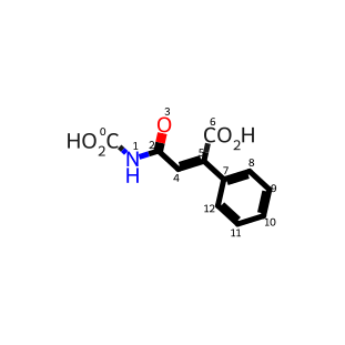 O=C(O)NC(=O)C=C(C(=O)O)c1ccccc1